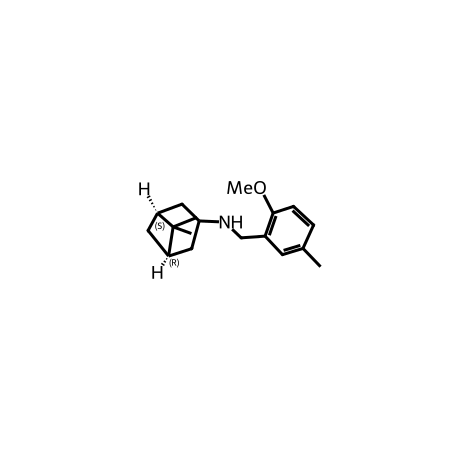 COc1ccc(C)cc1CNC1C[C@@H]2C[C@H](C1)C2(C)C